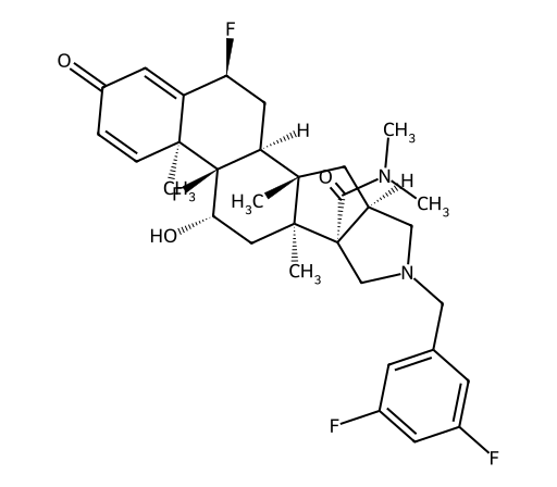 CN(C)C(=O)[C@@]12CN(Cc3cc(F)cc(F)c3)C[C@@H]1C[C@@]1(C)[C@@H]3C[C@H](F)C4=CC(=O)C=C[C@]4(C)[C@@]3(F)[C@@H](O)C[C@@]12C